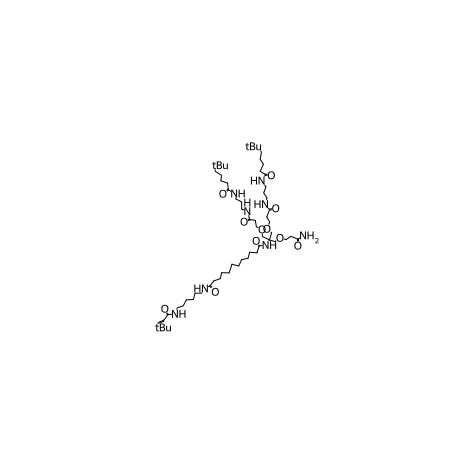 CC(C)(C)/C=C/C(=O)NCCCCCCNC(=O)CCCCCCCCCCC(=O)NC(COCCC(N)=O)(COCCC(=O)NCCCNC(=O)CCCCC(C)(C)C)COCCC(=O)NCCCNC(=O)CCCCC(C)(C)C